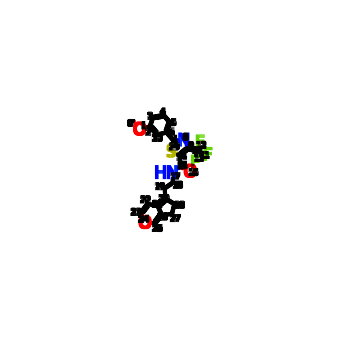 COc1cccc(-c2nc(C(F)(F)F)c(C(=O)NCCC3=C4C=COC=C4CC3)s2)c1